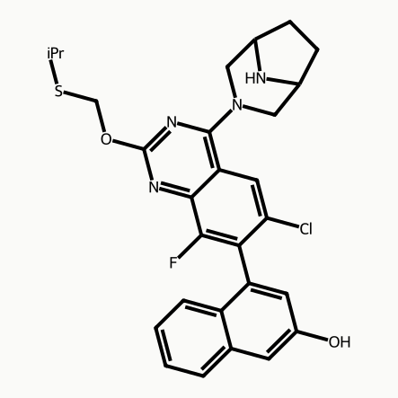 CC(C)SCOc1nc(N2CC3CCC(C2)N3)c2cc(Cl)c(-c3cc(O)cc4ccccc34)c(F)c2n1